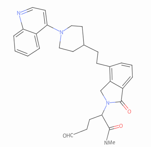 CNC(=O)C(CCC=O)N1Cc2c(CCC3CCN(c4ccnc5ccccc45)CC3)cccc2C1=O